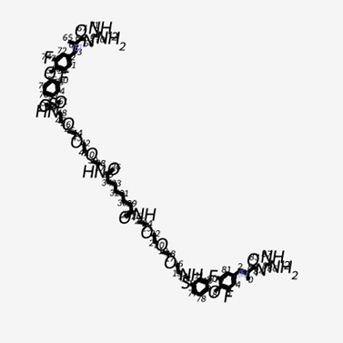 C/C(=C\c1cc(F)c(Oc2ccc(SNCCOCCOCCOCCNC(=O)CCCCCCC(=O)NCCOCCOCCOCCNS(=O)(=O)c3ccc(Oc4c(F)cc(/C=C(\C)C(=O)N=C(N)N)cc4F)cc3)cc2)c(F)c1)C(=O)N=C(N)N